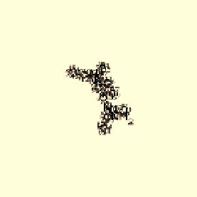 N/C(=N\C(=N/Cc1ccc2c(c1)C1(c3ccccc3-c3ccccc31)c1cc(-c3nc(-c4ccccc4)nc(-c4ccc(-c5ccccc5)cc4)n3)ccc1-2)c1ccc(-c2ccccc2)cc1)c1ccccc1